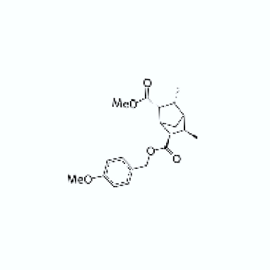 COC(=O)[C@H]1C2CC([C@H]1C)[C@@H](C)[C@H]2C(=O)OCc1ccc(OC)cc1